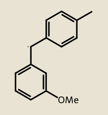 COc1cccc([CH]c2ccc(C)cc2)c1